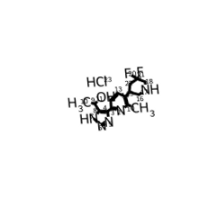 Cc1nc(-c2nn[nH]c2C(C)O)ccc1C1CNCC(F)(F)C1.Cl